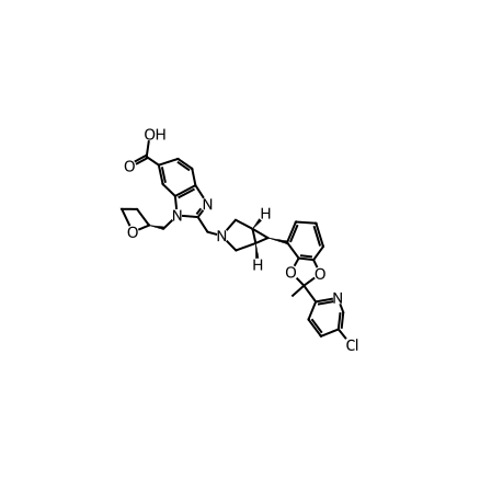 CC1(c2ccc(Cl)cn2)Oc2cccc([C@H]3[C@@H]4CN(Cc5nc6ccc(C(=O)O)cc6n5C[C@@H]5CCO5)C[C@@H]43)c2O1